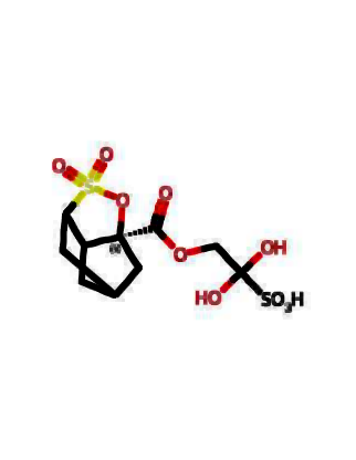 O=C(OCC(O)(O)S(=O)(=O)O)[C@]12CC3CC1C(C3)S(=O)(=O)O2